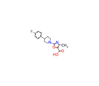 Cc1nc(N2CCC(c3ccc(F)cc3)CC2)oc1C(=O)O